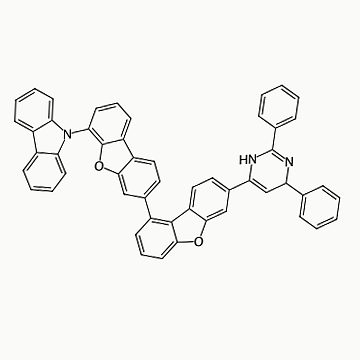 C1=C(c2ccc3c(c2)oc2cccc(-c4ccc5c(c4)oc4c(-n6c7ccccc7c7ccccc76)cccc45)c23)NC(c2ccccc2)=NC1c1ccccc1